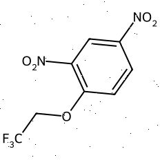 O=[N+]([O-])c1ccc(OCC(F)(F)F)c([N+](=O)[O-])c1